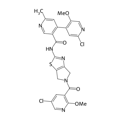 COc1cnc(Cl)cc1-c1cc(C)ncc1C(=O)Nc1nc2c(s1)CN(C(=O)c1cc(Cl)cnc1OC)C2